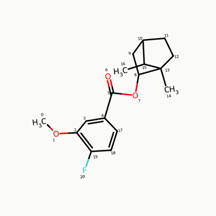 COc1cc(C(=O)OC2CC3CCC2(C)C3C)ccc1F